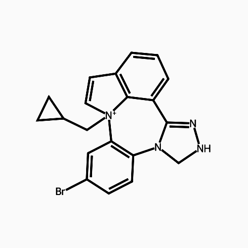 Brc1ccc2c(c1)[N+]1(CC3CC3)C=Cc3cccc(c31)C1=NNCN12